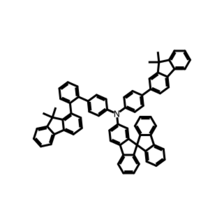 CC1(C)c2ccccc2-c2ccc(-c3ccc(N(c4ccc(-c5ccccc5-c5cccc6c5C(C)(C)c5ccccc5-6)cc4)c4ccc5c(c4)C4(c6ccccc6-c6ccccc64)c4ccccc4-5)cc3)cc21